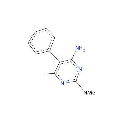 CNc1nc(C)c(-c2ccccc2)c(N)n1